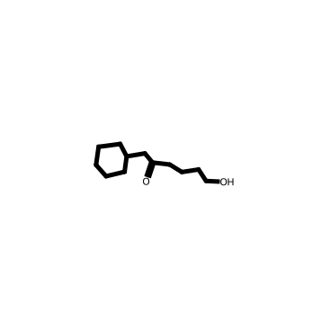 O=C(CCCCO)CC1CCCCC1